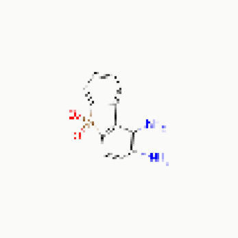 Nc1ccc2c(c1N)-c1ccccc1S2(=O)=O